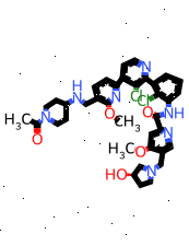 COc1cc(C(=O)Nc2cccc(-c3nccc(-c4ccc(CNC5CCN(C(C)=O)CC5)c(OC)n4)c3Cl)c2Cl)ncc1CN1CC[C@@H](O)C1